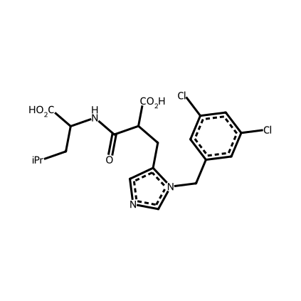 CC(C)CC(NC(=O)C(Cc1cncn1Cc1cc(Cl)cc(Cl)c1)C(=O)O)C(=O)O